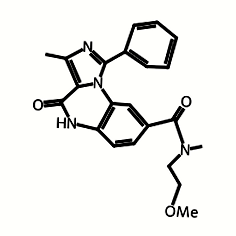 COCCN(C)C(=O)c1ccc2[nH]c(=O)c3c(C)nc(-c4ccccc4)n3c2c1